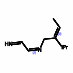 C/C=C(\C/N=C\C=N)C(C)C